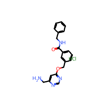 Cl.NCc1cc(OCc2cccc(C(=O)NCc3ccccc3)c2)ncn1